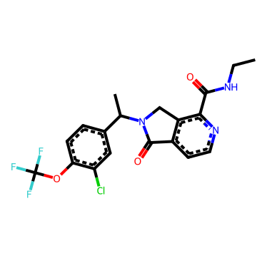 CCNC(=O)c1nccc2c1CN(C(C)c1ccc(OC(F)(F)F)c(Cl)c1)C2=O